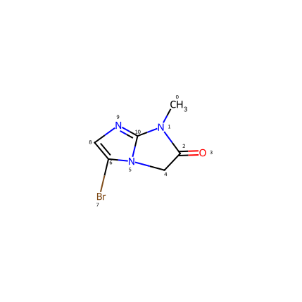 CN1C(=O)Cn2c(Br)cnc21